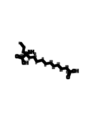 CCCC(N)(CCCCCCCCCCC(=O)O)C(=O)O